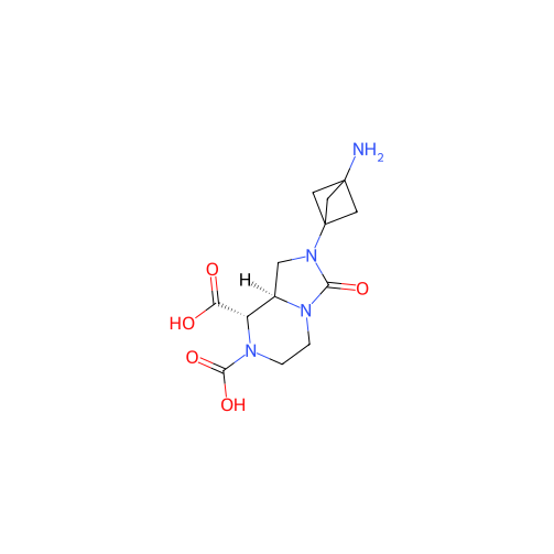 NC12CC(N3C[C@@H]4[C@@H](C(=O)O)N(C(=O)O)CCN4C3=O)(C1)C2